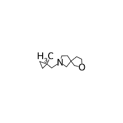 CC1(CN2CCC3(CCOC3)C2)CC1